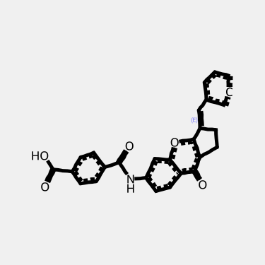 O=C(O)c1ccc(C(=O)Nc2ccc3c(=O)c4c(oc3c2)/C(=C/c2ccccc2)CC4)cc1